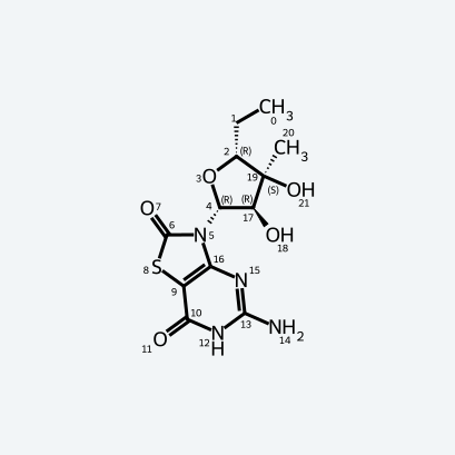 CC[C@H]1O[C@@H](n2c(=O)sc3c(=O)[nH]c(N)nc32)[C@H](O)[C@]1(C)O